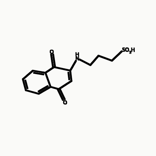 O=C1C=C(NCCCS(=O)(=O)O)C(=O)c2ccccc21